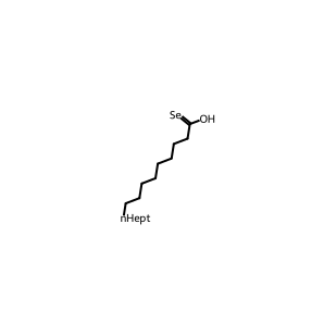 CCCCCCCCCCCCCCCC(O)=[Se]